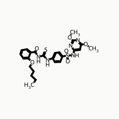 CCCCCOc1ccccc1C(=O)NC(=S)Nc1ccc(S(=O)(=O)Nc2cc(OC)nc(OC)n2)cc1